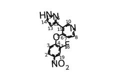 O=[N+]([O-])c1ccc(Oc2ccncc2-c2cc[nH]n2)c(F)c1